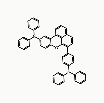 c1ccc(N(c2ccccc2)c2ccc(-c3ccc4cccc5c4c3Oc3ccc(N(c4ccccc4)c4ccccc4)cc3-5)cc2)cc1